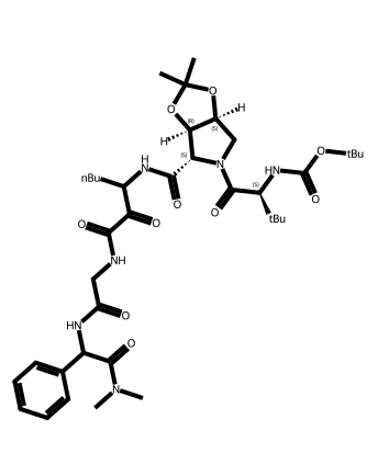 CCCCC(NC(=O)[C@@H]1[C@H]2OC(C)(C)O[C@H]2CN1C(=O)[C@@H](NC(=O)OC(C)(C)C)C(C)(C)C)C(=O)C(=O)NCC(=O)NC(C(=O)N(C)C)c1ccccc1